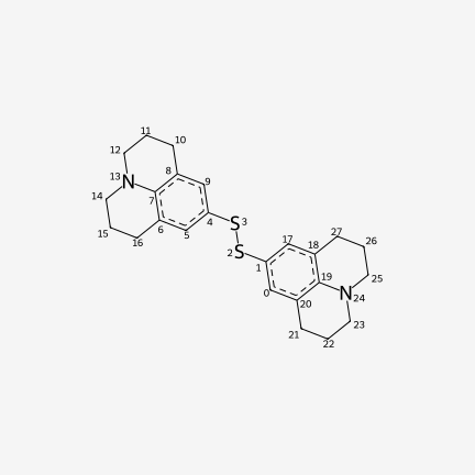 c1c(SSc2cc3c4c(c2)CCCN4CCC3)cc2c3c1CCCN3CCC2